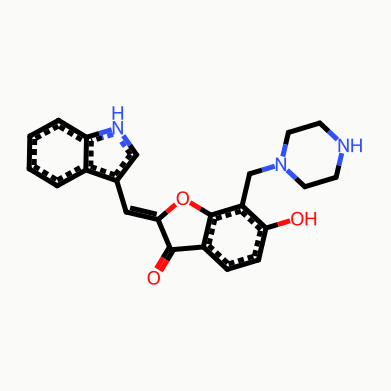 O=C1C(=Cc2c[nH]c3ccccc23)Oc2c1ccc(O)c2CN1CCNCC1